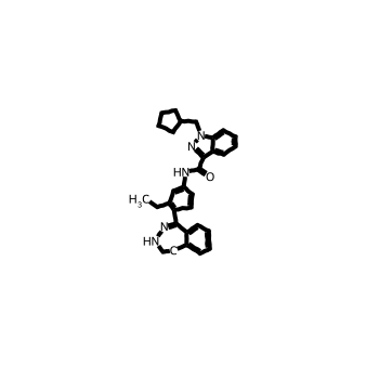 CCc1cc(NC(=O)c2nn(CC3CCCC3)c3ccccc23)ccc1C1=NNCCc2ccccc21